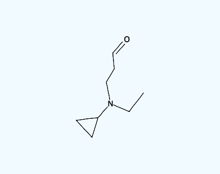 CCN(CCC=O)C1CC1